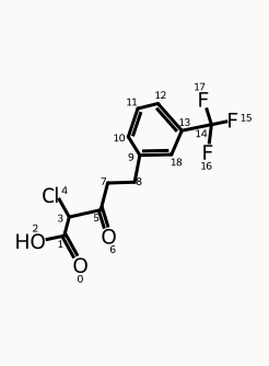 O=C(O)C(Cl)C(=O)CCc1cccc(C(F)(F)F)c1